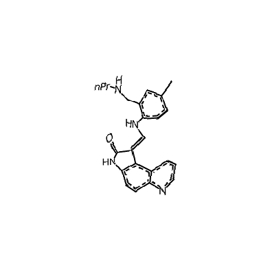 CCCNCc1cc(C)ccc1NC=C1C(=O)Nc2ccc3ncccc3c21